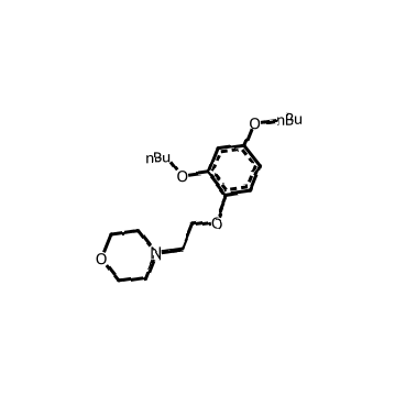 CCCCOc1ccc(OCCN2CCOCC2)c(OCCCC)c1